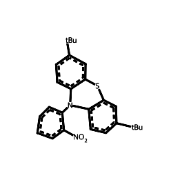 CC(C)(C)c1ccc2c(c1)Sc1cc(C(C)(C)C)ccc1N2c1ccccc1[N+](=O)[O-]